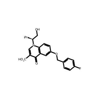 CC(C)[C@@H](CO)n1cc(C(=O)O)c(=O)c2cc(OCc3ccc(F)cc3)ccc21